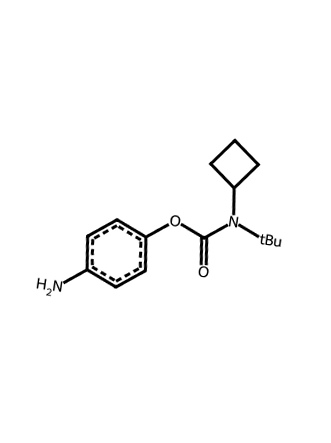 CC(C)(C)N(C(=O)Oc1ccc(N)cc1)C1CCC1